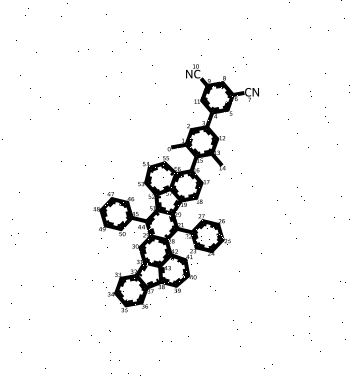 Cc1cc(-c2cc(C#N)cc(C#N)c2)cc(C)c1-c1ccc2c3c(-c4ccccc4)c4c(cc5c6ccccc6c6cccc4c65)c(-c4ccccc4)c3c3cccc1c32